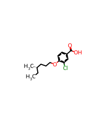 CC[C@H](C)CCCOc1ccc(C(=O)O)cc1Cl